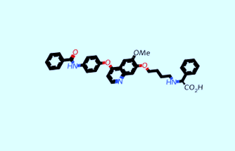 COc1cc2c(Oc3ccc(NC(=O)c4ccccc4)cc3)ccnc2cc1OCCCCN[C@H](C(=O)O)c1ccccc1